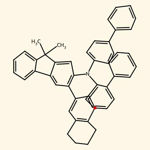 CC1(C)c2ccccc2-c2cc(-c3ccc4c(c3)CCCC4)c(N(c3ccc(-c4ccccc4)cc3)c3ccccc3-c3ccccc3)cc21